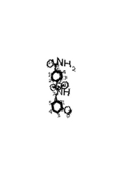 COc1cccc(CNS(=O)(=O)c2ccc(C(N)=O)cc2)c1